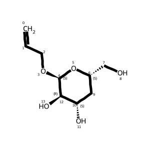 C=CCO[C@H]1O[C@H](CO)C[C@H](O)[C@H]1O